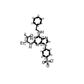 CC[C@H](Nc1nc(NCc2ccccc2)c2ncn(-c3ccc(S(=O)(=O)Cl)cc3)c2n1)[C@@H](C)O